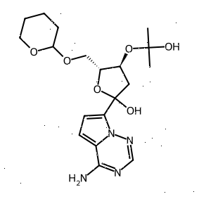 CC(C)(O)O[C@H]1CC(O)(c2ccc3c(N)ncnn23)O[C@@H]1COC1CCCCO1